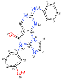 O=c1c2cnc(Nc3ccccc3)nc2n2ccnc2n1-c1cccc(O)c1